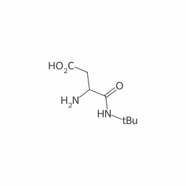 CC(C)(C)NC(=O)C(N)CC(=O)O